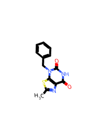 Cc1nc2c(=O)[nH]c(=O)n(Cc3ccccc3)c2s1